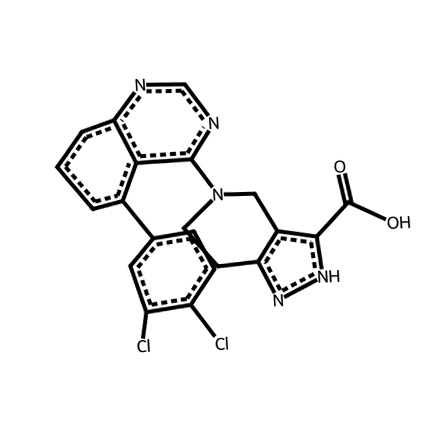 O=C(O)c1[nH]nc2c1CN(c1ncnc3cccc(-c4ccc(Cl)c(Cl)c4)c13)CC2